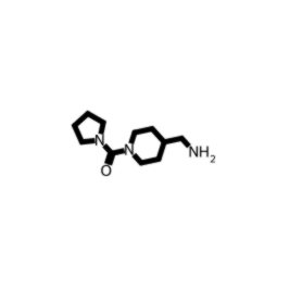 NCC1CCN(C(=O)N2CCCC2)CC1